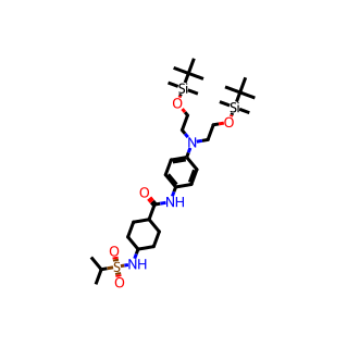 CC(C)S(=O)(=O)NC1CCC(C(=O)Nc2ccc(N(CCO[Si](C)(C)C(C)(C)C)CCO[Si](C)(C)C(C)(C)C)cc2)CC1